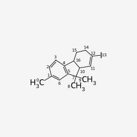 Cc1ccc2c(c1)C(C)(C)C1C=C(I)CCC21